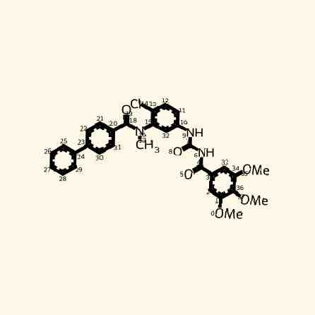 COc1cc(C(=O)NC(=O)Nc2ccc(Cl)c(N(C)C(=O)c3ccc(-c4ccccc4)cc3)c2)cc(OC)c1OC